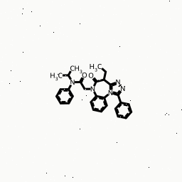 CCC1C(=O)N(CC(=O)N(c2ccccc2)C(C)C)c2ccccc2-n2c(-c3ccccc3)nnc21